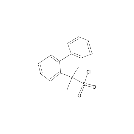 CC(C)(c1ccccc1-c1ccccc1)S(=O)(=O)Cl